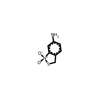 Nc1ccc2c(c1)[N+]([O-])([O-])SC2